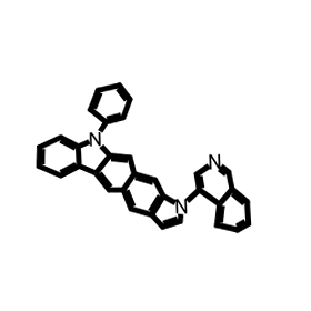 c1ccc(-n2c3ccccc3c3cc4cc5ccn(-c6cncc7ccccc67)c5cc4cc32)cc1